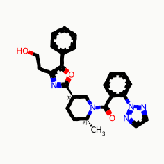 C[C@@H]1CC[C@@H](c2nc(CCO)c(-c3ccccc3)o2)CN1C(=O)c1ccccc1-n1nccn1